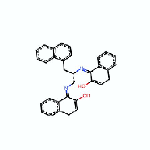 OC1=CCc2ccccc2C1=NC[C@H](Cc1cccc2ccccc12)N=C1C(O)=CCc2ccccc21